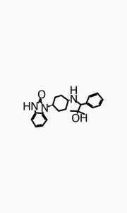 CC(C)(O)C(N[C@H]1CC[C@H](n2c(=O)[nH]c3ccccc32)CC1)c1ccccc1